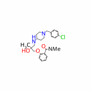 CNC(=O)c1ccccc1OCC(C)(O)CNC1CCN(Cc2ccc(Cl)cc2)CC1